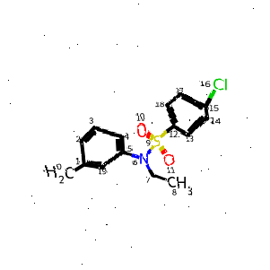 [CH2]c1cccc(N(CC)S(=O)(=O)c2ccc(Cl)cc2)c1